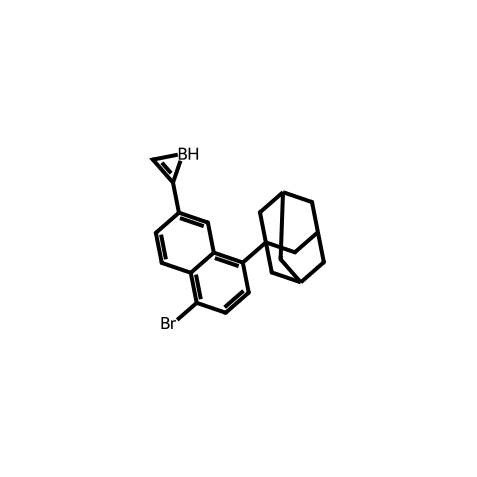 Brc1ccc(C23CC4CC(CC(C4)C2)C3)c2cc(C3=CB3)ccc12